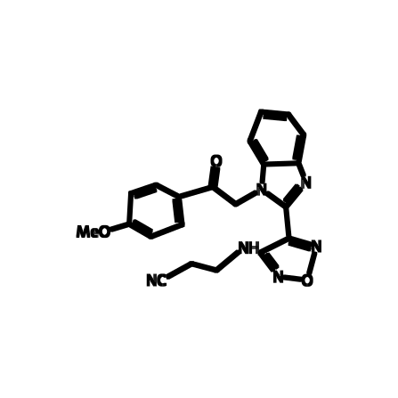 COc1ccc(C(=O)Cn2c(-c3nonc3NCCC#N)nc3ccccc32)cc1